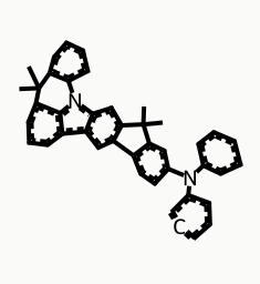 CC1(C)c2cc(N(c3ccccc3)c3ccccc3)ccc2-c2cc3c4cccc5c4n(c3cc21)-c1ccccc1C5(C)C